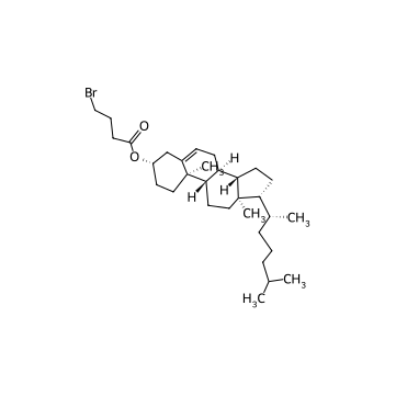 CC(C)CCC[C@@H](C)[C@H]1CC[C@H]2[C@@H]3CC=C4C[C@@H](OC(=O)CCCBr)CC[C@]4(C)[C@H]3CC[C@]12C